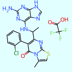 Cc1csc2nc(C(C)Nc3nc(N)nc4[nH]cnc34)c(-c3ccccc3Cl)c(=O)n12.O=C(O)C(F)(F)F